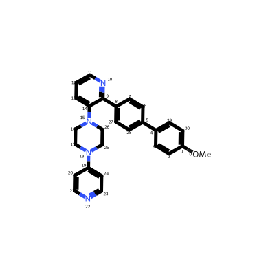 COc1ccc(-c2ccc(-c3ncccc3N3CCN(c4ccncc4)CC3)cc2)cc1